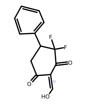 O=C1CC(c2ccccc2)C(F)(F)C(=O)/C1=C/O